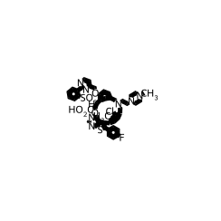 Cc1c2ccc(c1Cl)CN(CCN1CCN(C)CC1)Cc1ccc(OCc3ccnc(-c4ccccc4S(=O)(=O)O)n3)c(c1)C[C@H](C(=O)O)Oc1ncnc3sc(-c4ccc(F)cc4)c-2c13